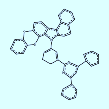 C1=C(c2nc(-c3ccccc3)cc(-c3ccccc3)n2)CCC=C1n1c2ccc3ccccc3c2c2ccc3c(c21)Sc1ccccc1S3